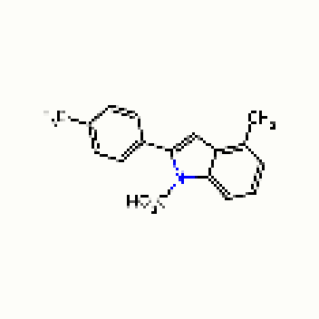 Cc1cccc2c1cc(-c1ccc(C(F)(F)F)cc1)n2C(=O)O